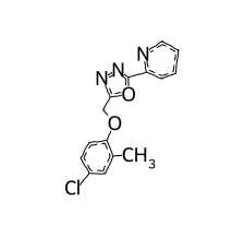 Cc1cc(Cl)ccc1OCc1nnc(-c2ccccn2)o1